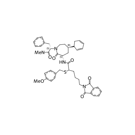 CNC(=O)[C@H](Cc1ccccc1)N1CC[C@@H](C2C=CC=CC2)C[C@H](NC(=O)C(CCCCN2C(=O)c3ccccc3C2=O)SCc2ccc(OC)cc2)C1=O